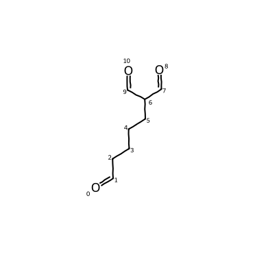 O=CCCCCC(C=O)C=O